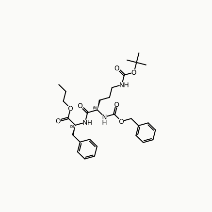 CCCOC(=O)[C@H](Cc1ccccc1)NC(=O)[C@@H](CCCNC(=O)OC(C)(C)C)NC(=O)OCc1ccccc1